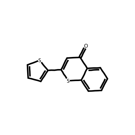 O=c1cc(-c2cccs2)sc2ccccc12